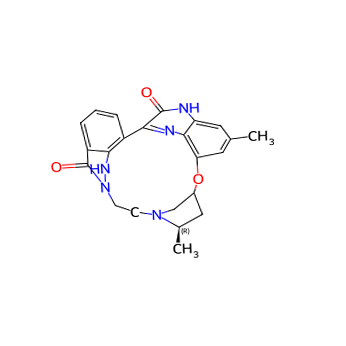 Cc1cc2c3nc(c(=O)[nH]c3c1)-c1cccc3c(=O)n([nH]c13)CCN1CC(C[C@H]1C)O2